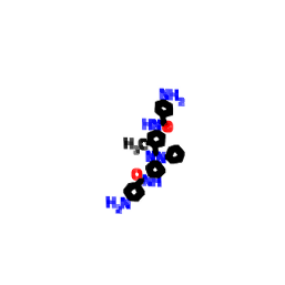 Cc1cc(NC(=O)c2ccc(N)cc2)ccc1-c1nc2cc(NC(=O)c3ccc(N)cc3)ccc2n1-c1ccccc1